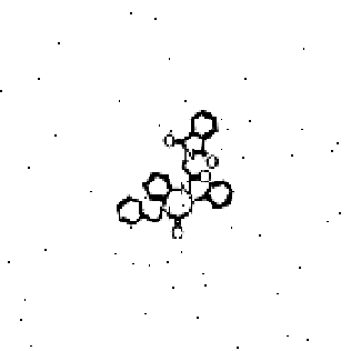 O=C1c2ccccc2C(=O)N1CC(=O)N1c2ccccc2N(Cc2ccccc2)C(=O)CC1c1ccccc1